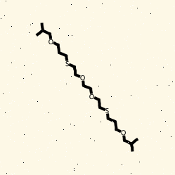 CC(C)COCCCSCCOCCOCCSCCCOCC(C)C